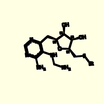 CCSC[C@H]1O[C@@H](Cc2ncnc(N)c2NCN)[C@H](O)[C@@H]1O